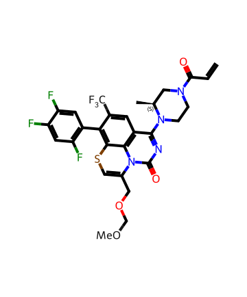 C=CC(=O)N1CCN(c2nc(=O)n3c4c(c(-c5cc(F)c(F)cc5F)c(C(F)(F)F)cc24)SC=C3COCOC)[C@@H](C)C1